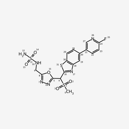 CS(=O)(=O)C(c1nnc(CNS(N)(=O)=O)o1)c1nc2cc(-c3ccc(F)nc3)ccc2s1